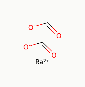 O=C[O-].O=C[O-].[Ra+2]